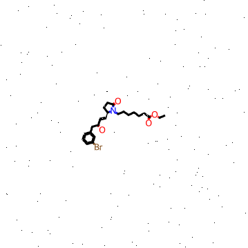 CCOC(=O)CCCCCCN1C(=O)CC[C@@H]1C=CC(=O)Cc1cccc(Br)c1